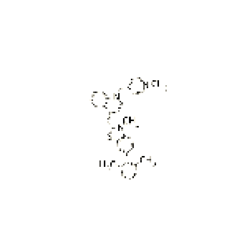 Cc1cccc(C)c1-c1ccc2c(c1)sc(C=C1C=CN(Cc3cc[n+](C)cc3)c3ccccc31)[n+]2C